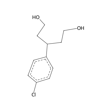 OCCC(CCO)c1ccc(Cl)cc1